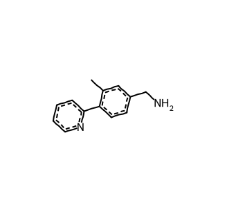 Cc1cc(CN)ccc1-c1ccccn1